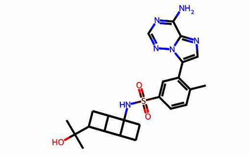 Cc1ccc(S(=O)(=O)NC23C4C5C2C2C3C4C52C(C)(C)O)cc1-c1cnc2c(N)ncnn12